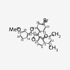 C=C1C=C(C)c2ccc3oc(C(=O)c4cccc(OC)c4)c(-c4ccc(Br)cc4)c3c2O1